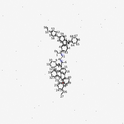 C=C/C(=C\C=C(/C)N(c1ccccc1)c1ccc2c(c1)C(Cc1ccc(C=C)cc1)(c1ccccc1)c1ccccc1-2)c1ccc2c(c1)c1cc(-c3ccc(C=C)cc3)ccc1n2-c1ccccc1